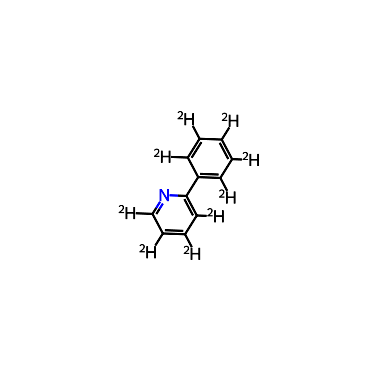 [2H]c1nc(-c2c([2H])c([2H])c([2H])c([2H])c2[2H])c([2H])c([2H])c1[2H]